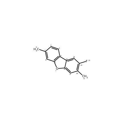 Cc1ccc2c(c1)oc1cc(C)c(F)cc12